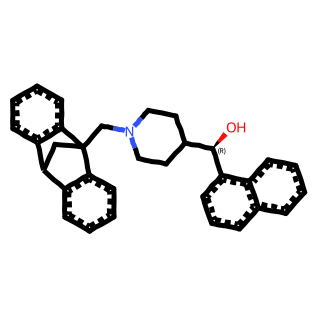 O[C@@H](c1cccc2ccccc12)C1CCN(CC23CC(c4ccccc42)c2ccccc23)CC1